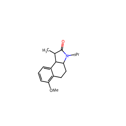 CCCN1C(=O)C(C)C2c3cccc(OC)c3CCC21